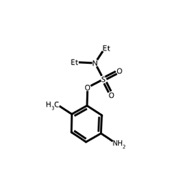 CCN(CC)S(=O)(=O)Oc1cc(N)ccc1C